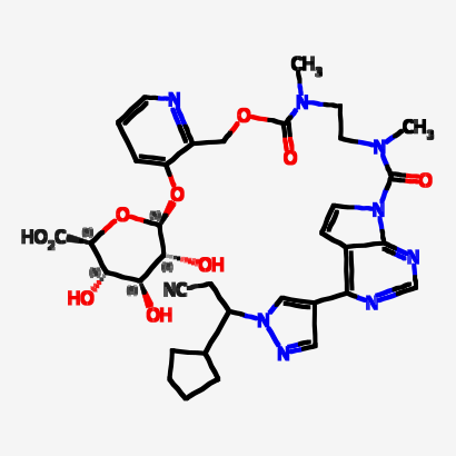 CN(CCN(C)C(=O)n1ccc2c(-c3cnn(C(CC#N)C4CCCC4)c3)ncnc21)C(=O)OCc1ncccc1O[C@@H]1O[C@H](C(=O)O)[C@@H](O)[C@H](O)[C@H]1O